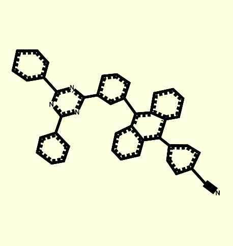 N#Cc1ccc(-c2c3ccccc3c(-c3cccc(-c4nc(-c5ccccc5)nc(-c5ccccc5)n4)c3)c3ccccc23)cc1